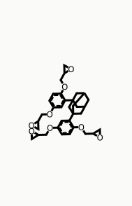 c1cc(OCC2CO2)c(C23CC4CC(C2)CC(c2cc(OCC5CO5)ccc2OCC2CO2)(C4)C3)cc1OCC1CO1